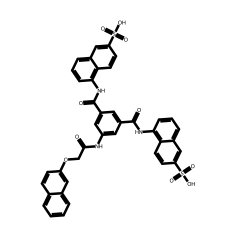 O=C(COc1ccc2ccccc2c1)Nc1cc(C(=O)Nc2cccc3cc(S(=O)(=O)O)ccc23)cc(C(=O)Nc2cccc3cc(S(=O)(=O)O)ccc23)c1